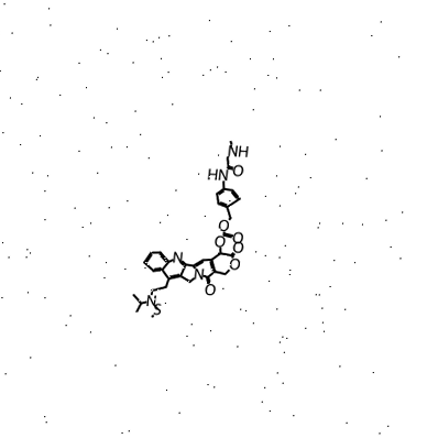 CNCC(=O)Nc1ccc(COC(=O)OC2C(=O)OCc3c2cc2n(c3=O)Cc3c-2nc2ccccc2c3CCN(SC)C(C)C)cc1